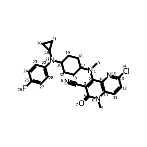 CN(c1c(C#N)c(=O)n(C)c2ccc(Cl)nc12)C1CCC(N(c2ccc(F)cc2)C2CC2)CC1